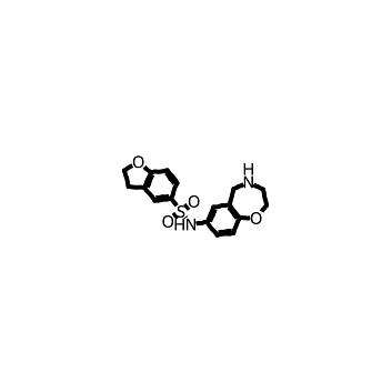 O=S(=O)(Nc1ccc2c(c1)CNCCO2)c1ccc2c(c1)CCO2